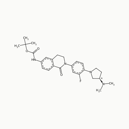 CN(C)[C@@H]1CCN(c2ccc(N3CCc4cc(NC(=O)OC(C)(C)C)ccc4C3=O)cc2F)C1